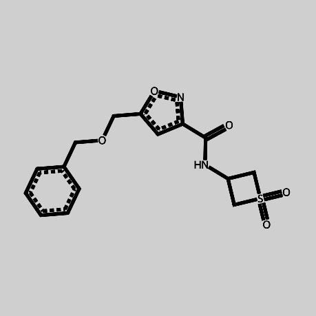 O=C(NC1CS(=O)(=O)C1)c1cc(COCc2ccccc2)on1